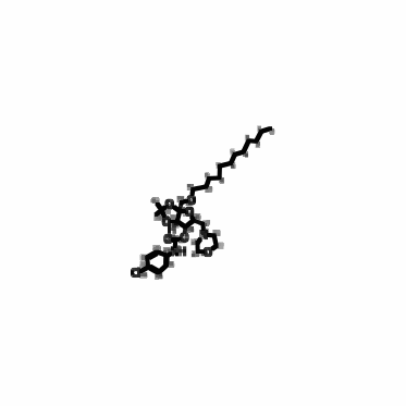 CCCCCCCCCCCCOC[C@@]12O[C@@H](CN3CCOCC3)[C@@H](OC(=O)Nc3ccc(Cl)cc3)[C@@H]1OC(C)(C)O2